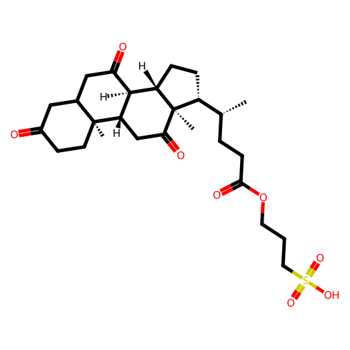 C[C@H](CCC(=O)OCCCS(=O)(=O)O)[C@H]1CC[C@H]2[C@@H]3C(=O)CC4CC(=O)CC[C@]4(C)[C@H]3CC(=O)[C@]12C